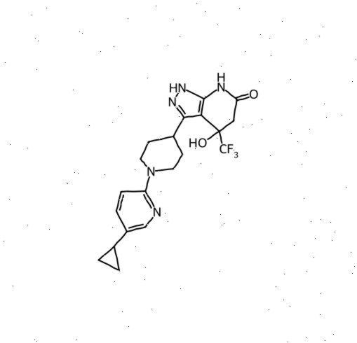 O=C1CC(O)(C(F)(F)F)c2c(C3CCN(c4ccc(C5CC5)cn4)CC3)n[nH]c2N1